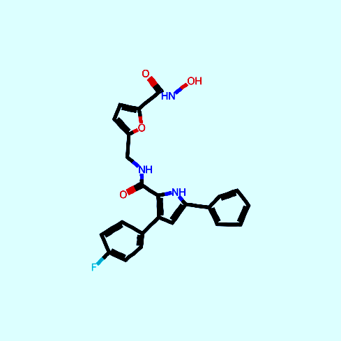 O=C(NO)c1ccc(CNC(=O)c2[nH]c(-c3ccccc3)cc2-c2ccc(F)cc2)o1